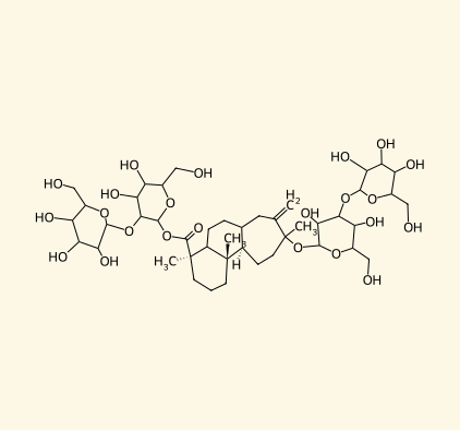 C=C1CC2CCC3[C@](C)(C(=O)OC4OC(CO)C(O)C(O)C4OC4OC(CO)C(O)C(O)C4O)CCC[C@@]3(C)[C@@H]2CCC1(C)OC1OC(CO)C(O)C(OC2OC(CO)C(O)C(O)C2O)C1O